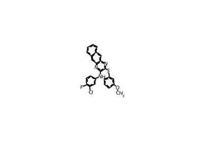 COc1cccc(Sc2nc3cc4ccccc4cc3nc2Nc2ccc(F)c(Cl)c2)c1